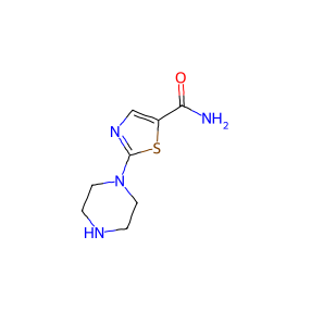 NC(=O)c1cnc(N2CCNCC2)s1